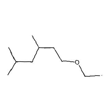 [CH2]COCCC(C)CC(C)C